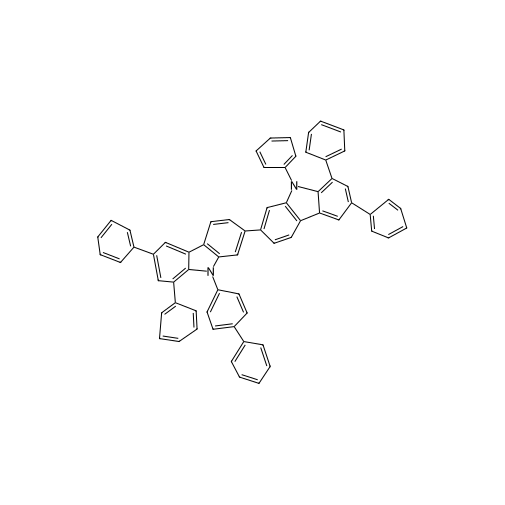 c1ccc(-c2ccc(-n3c4cc(-c5ccc6c7cc(-c8ccccc8)cc(-c8ccccc8)c7n(-c7ccccc7)c6c5)ccc4c4cc(-c5ccccc5)cc(-c5ccccc5)c43)cc2)cc1